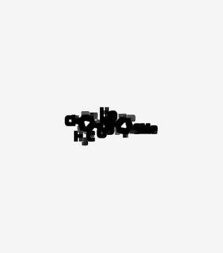 CSc1ccc(S(=O)(=O)NC(=O)c2ccc(Cl)cc2C)cc1